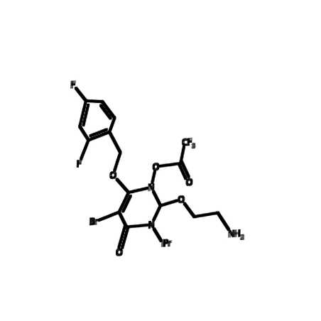 CC(C)N1C(=O)C(Br)=C(OCc2ccc(F)cc2F)N(OC(=O)C(F)(F)F)C1OCCN